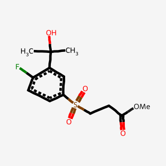 COC(=O)CCS(=O)(=O)c1ccc(F)c(C(C)(C)O)c1